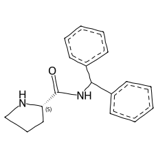 O=C(NC(c1ccccc1)c1ccccc1)[C@@H]1CCCN1